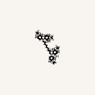 CC1(C)O[C@H]2[C@H](O)[C@@H](N(CCCCCCCCCN([C@H]3C=C[C@H]4OC(C)(C)O[C@H]4[C@@H]3O)[C@H]3C=C[C@H]4OC(C)(C)O[C@H]4[C@@H]3O)[C@H]3C=C[C@H]4OC(C)(C)O[C@H]4[C@@H]3O)C=C[C@H]2O1